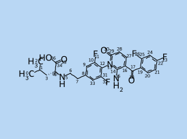 CC(C)C[C@@H](NCCc1cc(F)c(-n2c(N)c(C(=O)c3ccc(F)cc3F)ccc2=O)c(F)c1)C(=O)O